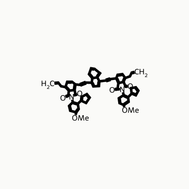 C=CCc1ccc(C#Cc2ccc(C#Cc3ccc(CC=C)c4c3C(=O)N(c3ccc(OC)cc3C3=CC=CC3)C4=O)c3ccccc23)c2c1C(=O)N(c1ccc(OC)cc1C1=CC=CC1)C2=O